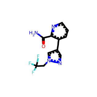 NC(=O)c1ncccc1-c1cnn(CC(F)(F)F)c1